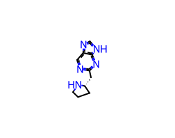 c1nc2cnc(C[C@@H]3CCCN3)nc2[nH]1